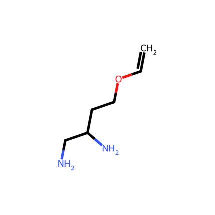 C=COCCC(N)CN